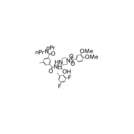 CCCN(CCC)C(=O)c1cc(C)cc(C(=O)N[C@@H](Cc2cc(F)cc(F)c2)C(O)[C@H]2CN(S(=O)(=O)c3ccc(OC)c(OC)c3)CCN2)c1